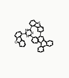 c1ccc(-c2nc(-c3cccc4oc5ccccc5c34)nc(-c3cccc4sc5ccc(-c6ccc7c8ccccc8c8ccccc8c7c6)cc5c34)n2)cc1